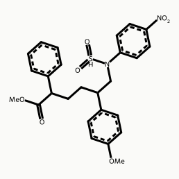 COC(=O)C(CCC(CN(c1ccc([N+](=O)[O-])cc1)[SH](=O)=O)c1ccc(OC)cc1)c1ccccc1